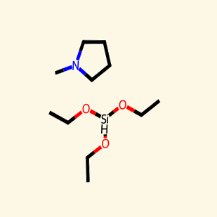 CCO[SiH](OCC)OCC.CN1CCCC1